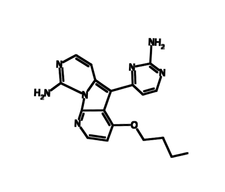 CCCCOc1ccnc2c1c(-c1ccnc(N)n1)c1ccnc(N)n12